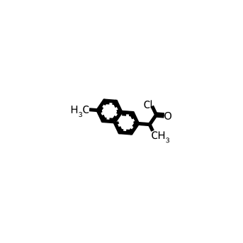 Cc1ccc2cc(C(C)C(=O)Cl)ccc2c1